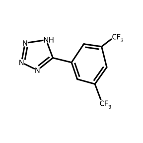 FC(F)(F)c1cc(-c2nnn[nH]2)cc(C(F)(F)F)c1